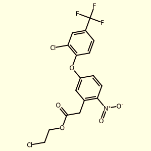 O=C(Cc1cc(Oc2ccc(C(F)(F)F)cc2Cl)ccc1[N+](=O)[O-])OCCCl